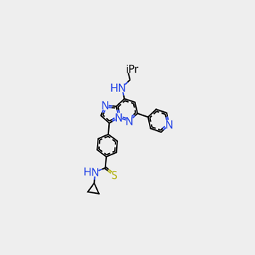 CC(C)CNc1cc(-c2ccncc2)nn2c(-c3ccc(C(=S)NC4CC4)cc3)cnc12